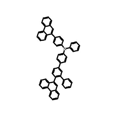 c1ccc(-c2cc(-c3ccc(N(c4ccccc4)c4ccc(-c5cc6ccccc6c6ccccc56)cc4)cc3)ccc2-c2cc3ccccc3c3ccccc23)cc1